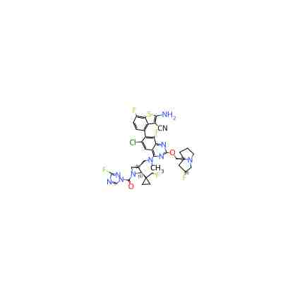 CN(C[C@@H]1CN(C(=O)n2cnc(F)n2)[C@@H]1C1(CF)CC1)c1nc(OC[C@@]23CCCN2C[C@H](F)C3)nc2c(F)c(-c3ccc(F)c4sc(N)c(C#N)c34)c(Cl)cc12